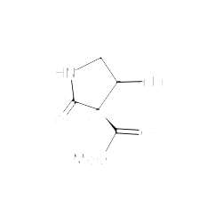 CCCC1CNC(=O)[C@@H]1C(=O)OC